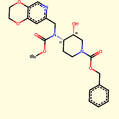 CC(C)(C)OC(=O)N(Cc1cc2c(cn1)OCCO2)[C@H]1CCN(C(=O)OCc2ccccc2)C[C@H]1O